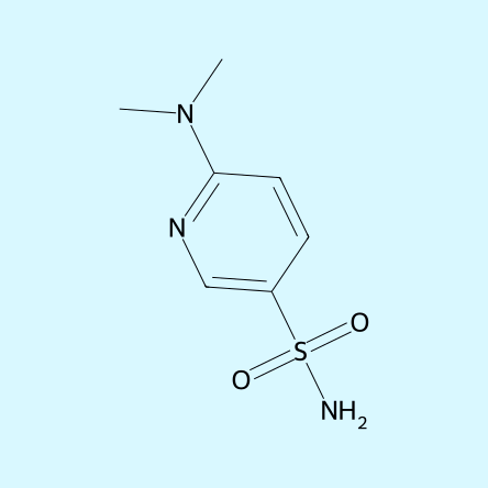 CN(C)c1ccc(S(N)(=O)=O)cn1